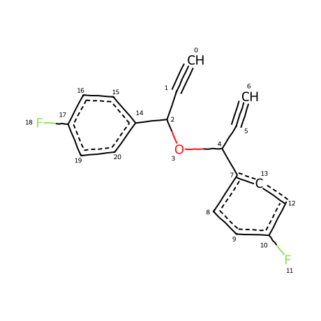 C#CC(OC(C#C)c1ccc(F)cc1)c1ccc(F)cc1